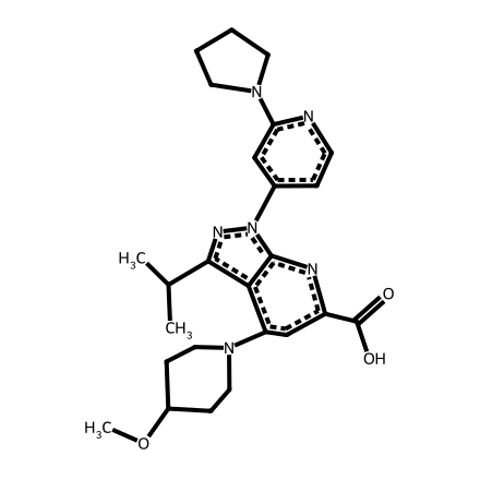 COC1CCN(c2cc(C(=O)O)nc3c2c(C(C)C)nn3-c2ccnc(N3CCCC3)c2)CC1